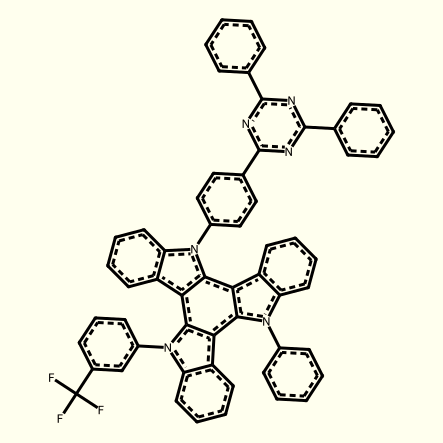 FC(F)(F)c1cccc(-n2c3ccccc3c3c4c(c5ccccc5n4-c4ccccc4)c4c(c5ccccc5n4-c4ccc(-c5nc(-c6ccccc6)nc(-c6ccccc6)n5)cc4)c32)c1